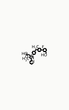 Cc1cc(-c2cc(CO)ccc2F)ccc1Cc1ccc(N2N=C(c3ccccn3)C(C)C2CC(=O)O)cc1